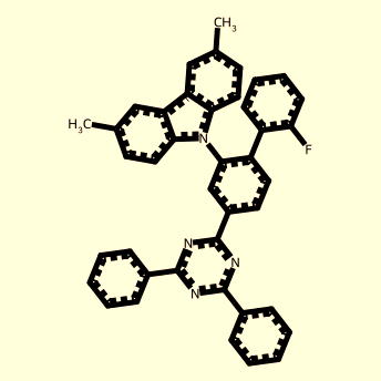 Cc1ccc2c(c1)c1cc(C)ccc1n2-c1cc(-c2nc(-c3ccccc3)nc(-c3ccccc3)n2)ccc1-c1ccccc1F